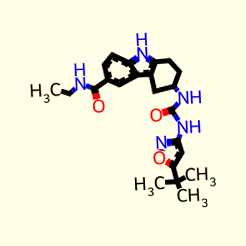 CCNC(=O)c1ccc2[nH]c3c(c2c1)CC(NC(=O)Nc1cc(C(C)(C)C)on1)CC3